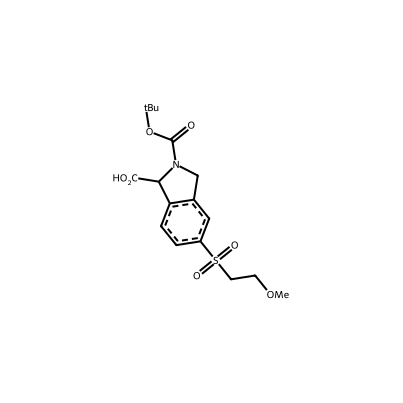 COCCS(=O)(=O)c1ccc2c(c1)CN(C(=O)OC(C)(C)C)C2C(=O)O